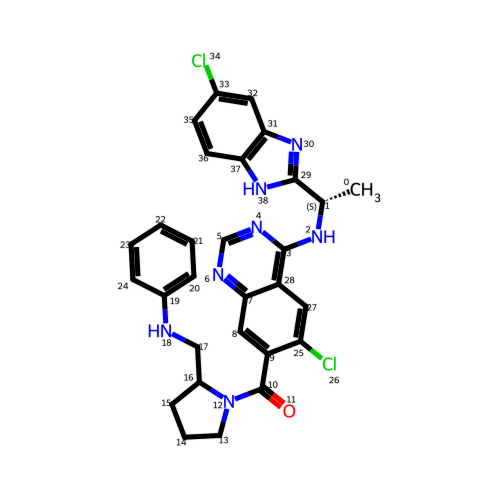 C[C@H](Nc1ncnc2cc(C(=O)N3CCCC3CNc3ccccc3)c(Cl)cc12)c1nc2cc(Cl)ccc2[nH]1